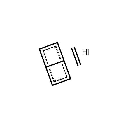 C=C.I.c1cc2ccc1-2